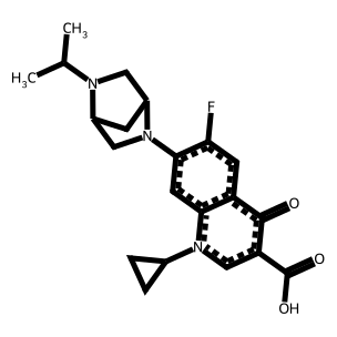 CC(C)N1CC2CC1CN2c1cc2c(cc1F)c(=O)c(C(=O)O)cn2C1CC1